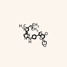 Cc1nn(-c2ccnc(Nc3ccc(-c4csc5c(=O)cc(N6CCOCC6)oc45)cc3)n2)cc1CN(C)C